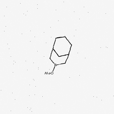 COB1CC2CCCC(C1)C2